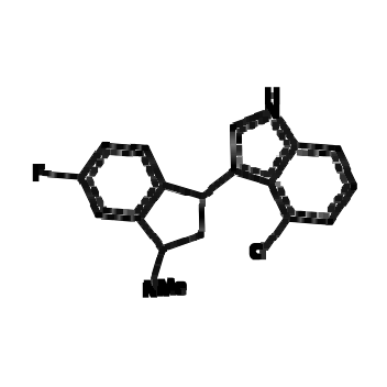 CNC1CC(c2c[nH]c3cccc(Cl)c23)c2ccc(F)cc21